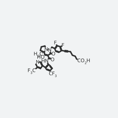 C[C@]12CCCN1N(Cc1ccc(C#CCCCCC(=O)O)c(F)c1F)C(=O)C(C(=O)Nc1ccc(C(F)(F)F)cc1-c1cncc(C(F)(F)F)c1)=C2O